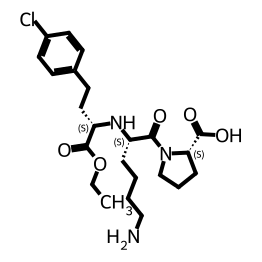 CCOC(=O)[C@H](CCc1ccc(Cl)cc1)N[C@@H](CCCCN)C(=O)N1CCC[C@H]1C(=O)O